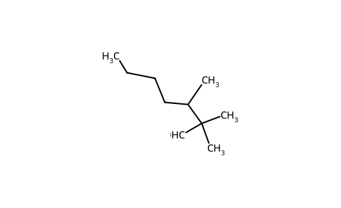 [CH]C(C)(C)C(C)CCCC